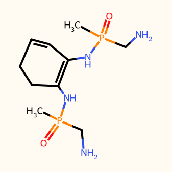 CP(=O)(CN)NC1=C(NP(C)(=O)CN)CCC=C1